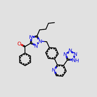 CCCCc1nc(C(=O)c2ccccc2)nn1Cc1ccc(-c2ncccc2-c2nnn[nH]2)cc1